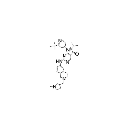 CC(C)n1c(=O)c2cnc(Nc3ccc4c(c3)CCN(CC3CCN(C)C3)C4)nc2n1-c1ccnc(C(C)(C)C)c1